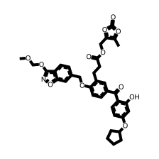 COCOc1noc2cc(COc3ccc(C(=O)c4ccc(OC5CCCC5)cc4O)cc3CCC(=O)OCc3oc(=O)oc3C)ccc12